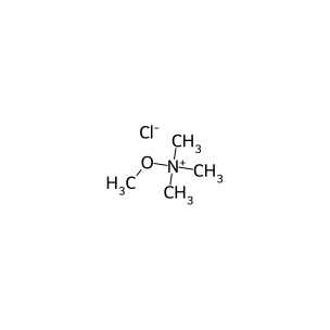 CO[N+](C)(C)C.[Cl-]